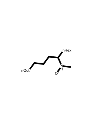 CCCCCCCCCCCC(CCCCCC)[NH+](C)[O-]